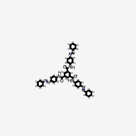 O=C(Nc1ccc(/N=N/c2ccccc2)cc1)c1cc(C(=O)Nc2ccc(/N=N/c3ccccc3)cc2)cc(C(=O)Nc2ccc(/N=N/c3ccccc3)cc2)c1